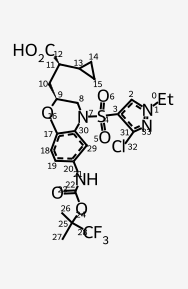 CCn1cc(S(=O)(=O)N2C[C@H](C[C@@H](C(=O)O)C3CC3)Oc3ccc(NC(=O)OC(C)(C)C(F)(F)F)cc32)c(Cl)n1